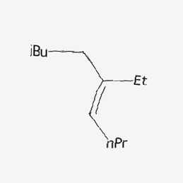 [CH2]CC(C)CC(=CCCC)CC